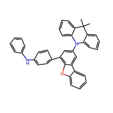 CC1(C)c2ccccc2N(c2cc(-c3ccc(Nc4ccccc4)cc3)c3oc4ccccc4c3c2)c2ccccc21